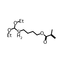 C=C(C)C(=O)OCCCC[SiH2]C(OCC)OCC